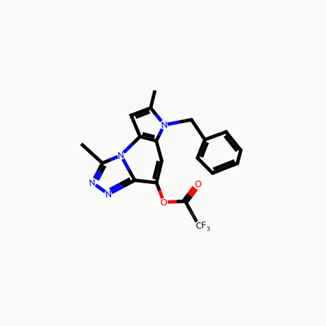 Cc1cc2c(cc(OC(=O)C(F)(F)F)c3nnc(C)n32)n1Cc1ccccc1